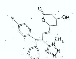 Cn1nnnc1C(C=CC1CC(O)CC(=O)O1)=C(c1ccccc1)c1ccc(F)cc1